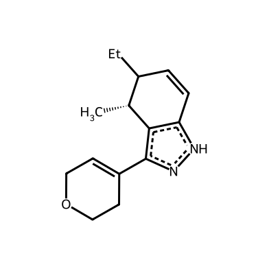 CCC1C=Cc2[nH]nc(C3=CCOCC3)c2[C@@H]1C